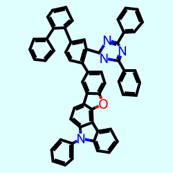 c1ccc(-c2nc(-c3ccccc3)nc(-c3cc(-c4ccccc4-c4ccccc4)ccc3-c3ccc4oc5c(ccc6c5c5ccccc5n6-c5ccccc5)c4c3)n2)cc1